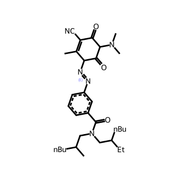 CCCCC(C)CN(CC(CC)CCCC)C(=O)c1cccc(/N=N/C2C(=O)C(N(C)C)C(=O)C(C#N)=C2C)c1